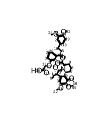 CCC(C(=O)N1CCCCC1C(=O)O[C@H](CCc1ccc(OC)c(OC)c1)c1cccc(OCC(=O)O)c1)c1cc(OC)c(OC)c(OC)c1